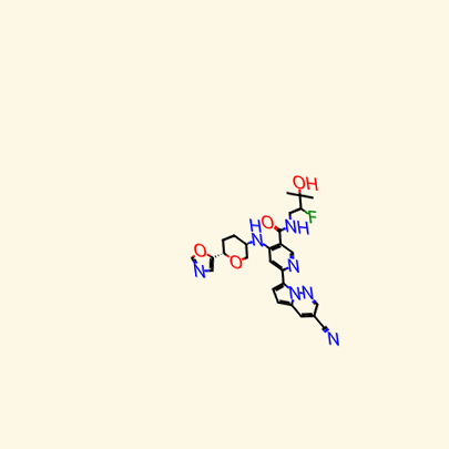 CC(C)(O)C(F)CNC(=O)c1cnc(-c2ccc3cc(C#N)cnn23)cc1N[C@@H]1CC[C@@H](c2cnco2)OC1